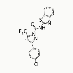 O=C(Nc1nc2ccccc2s1)n1nc(-c2ccc(Cl)cc2)[c]c1C(F)(F)F